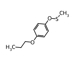 CCCOc1ccc(OSC)cc1